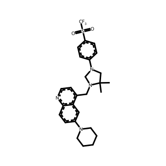 CC1(C)CN(c2ccc(S(=O)(=O)C(F)(F)F)cc2)CN1Cc1ccnc2ccc(N3CCCCC3)cc12